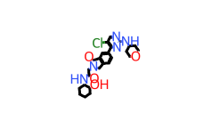 O=C(CN1Cc2ccc(-c3nc(NC4CCOCC4)ncc3Cl)cc2C1=O)NC1CCCCC1O